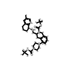 Cc1cnc2c(c1)CCC[C@@H]2NCC1Cc2c(cccc2N2CCN(C(=O)OC(C)(C)C)CC2)CN1C(=O)OC(C)(C)C